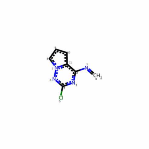 C=Nc1nc(Cl)nn2cccc12